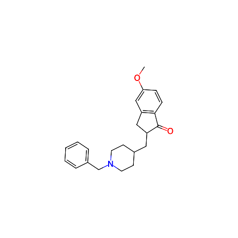 COc1ccc2c(c1)CC(CC1CCN(Cc3ccccc3)CC1)C2=O